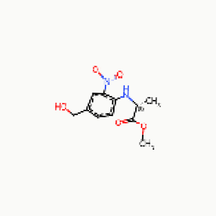 COC(=O)[C@@H](C)Nc1ccc(CO)cc1[N+](=O)[O-]